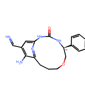 N=Cc1cc2nc(c1N)CCCOC[C@H](c1ccccc1)NC(=O)N2